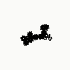 CC1(C)c2ccc(-c3ccc(-n4c5ccccc5c5c6c(ccc54)-c4ccccc4P6(=O)c4ccccc4)cc3)cc2-c2cc(-c3cccc4ccccc34)ccc21